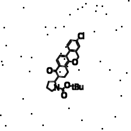 CC(C)(C)OC(=O)N1CCCC1C1CCc2c(ccc3c2OCc2cc(Cl)ccc2-3)C1=O